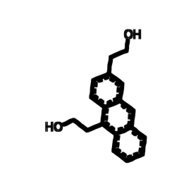 OCCc1ccc2c(CCO)c3ccccc3cc2c1